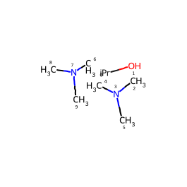 CC(C)O.CN(C)C.CN(C)C